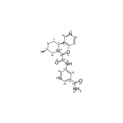 C[C@H]1CC[C@@H](c2cccnc2)N(C(=O)C(=O)Nc2cncc(C(N)=O)c2)C1